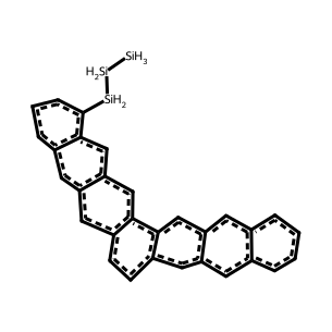 [SiH3][SiH2][SiH2]c1cccc2cc3cc4ccc5cc6cc7ccccc7cc6cc5c4cc3cc12